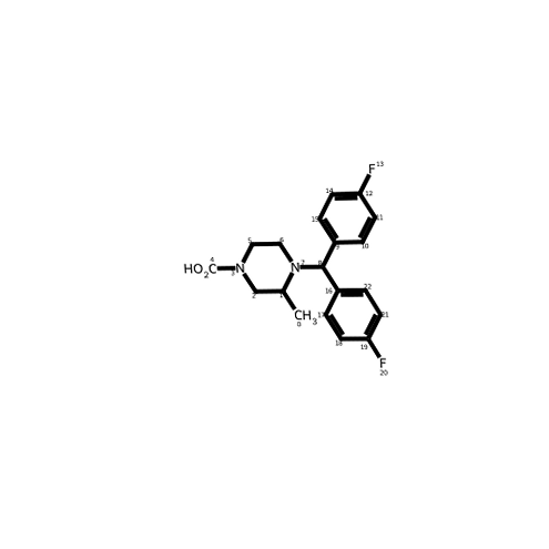 CC1CN(C(=O)O)CCN1C(c1ccc(F)cc1)c1ccc(F)cc1